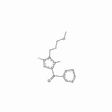 COCCCn1c(C)cc(C(=O)c2ccccc2)c1C